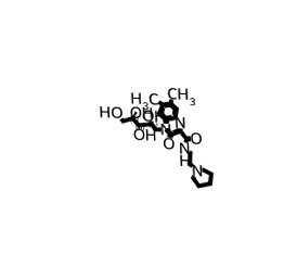 Cc1cc2nc(C(=O)NCCN3CCCCC3)c(=O)n(C[C@H](O)[C@H](O)[C@H](O)CO)c2cc1C